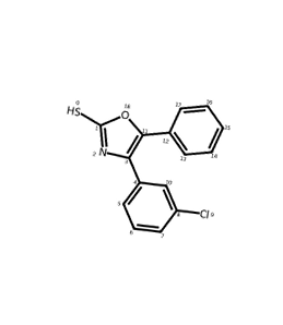 Sc1nc(-c2cccc(Cl)c2)c(-c2ccccc2)o1